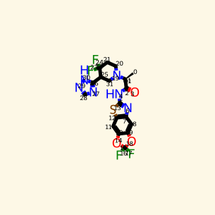 C[C@@H](C(=O)Nc1nc2cc3c(cc2s1)OC(F)(F)O3)N1CCC(F)(F)C(c2ncn[nH]2)C1